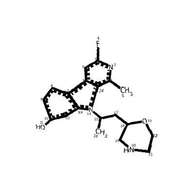 Cc1nc(F)cc2c3ccc(O)cc3n(C(C)CC3CNCCO3)c12